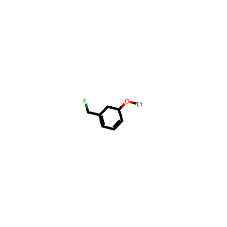 CCOC1C=CC=C(CF)C1